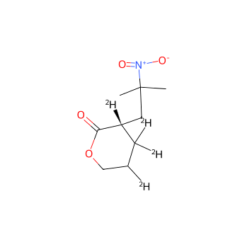 [2H]C1COC(=O)[C@]([2H])(CC(C)(C)[N+](=O)[O-])C1([2H])[2H]